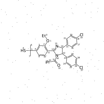 CCOc1cc(C(C)(C)S)ccc1C1=NC(c2ccc(Cl)cc2)C(c2ccc(Cl)cc2)N1C(=O)C(C)C